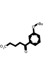 CCCCOc1cccc(C(=O)CCCC(=O)O)c1